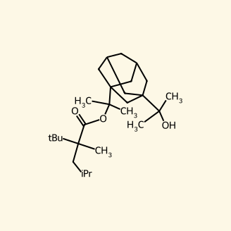 CC(C)CC(C)(C(=O)OC(C)(C)C12CC3CC(CC(C(C)(C)O)(C3)C1)C2)C(C)(C)C